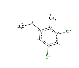 Cc1c(Cl)cc(Cl)cc1CC(Cl)(Cl)Cl